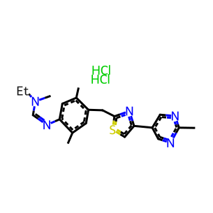 CCN(C)/C=N\c1cc(C)c(Cc2nc(-c3cnc(C)nc3)cs2)cc1C.Cl.Cl